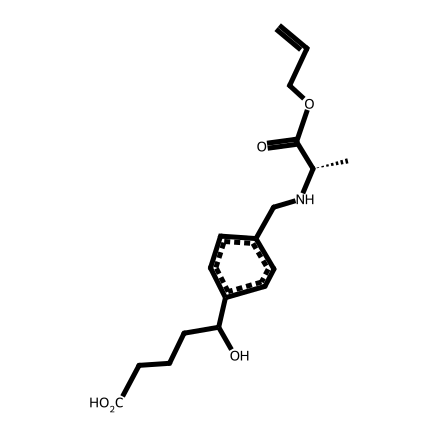 C=CCOC(=O)[C@H](C)NCc1ccc(C(O)CCCC(=O)O)cc1